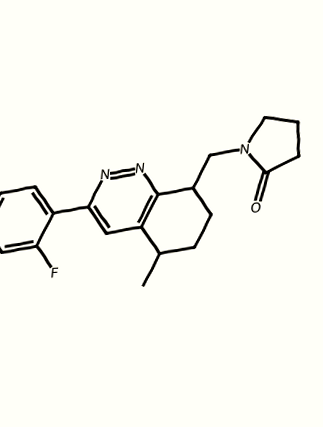 CC1CCC(CN2CCCC2=O)c2nnc(-c3ccccc3F)cc21